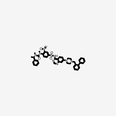 CC(c1ccccc1)N(C)C(=O)N(C)c1ccc(S(=O)(=O)Nc2ncnc3cc(N4CCN(Cc5ccccc5-c5ccccc5)CC4)ccc23)cc1[N+](=O)[O-]